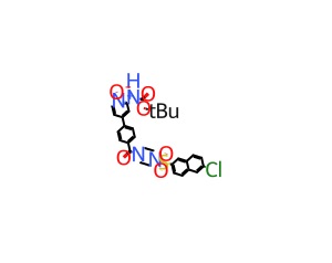 CC(C)(C)OC(=O)Nc1cc(-c2ccc(C(=O)N3CCN(S(=O)(=O)c4ccc5cc(Cl)ccc5c4)CC3)cc2)cc[n+]1[O-]